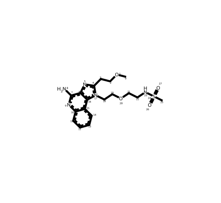 COCCc1nc2c(N)nc3ccccc3c2n1CCOCCNS(C)(=O)=O